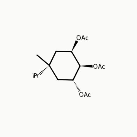 CC(=O)O[C@@H]1C[C@](C)(C(C)C)C[C@@H](OC(C)=O)[C@H]1OC(C)=O